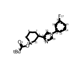 CC(C)(C)C(=O)ON1CCCC(c2cn(-c3cccc(F)c3)cn2)C1